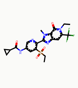 CCn1c(C(F)(F)F)cc2nc(-c3ncc(NC(=O)C4CC4)cc3S(=O)(=O)CC)n(C)c2c1=O